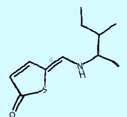 CCC(C)C(C)N/C=C1/C=CC(=O)S1